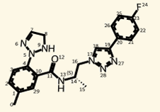 Cc1ccc(N2N=CCN2)c(C(=O)N[C@@H](C)Cn2cc(-c3ccc(F)cc3)nn2)c1